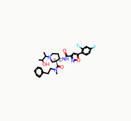 CC(O)C(C)N1CC[C@H](NC(=O)c2cc(-c3ccc(F)cc3F)on2)[C@@H](C(=O)N(C)CCc2ccccc2)C1